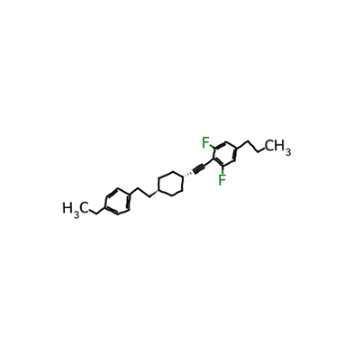 CCCc1cc(F)c(C#C[C@H]2CC[C@H](CCc3ccc(CC)cc3)CC2)c(F)c1